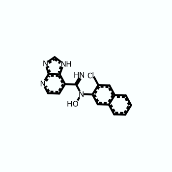 N=C(c1ccnc2nc[nH]c12)N(O)c1cc2ccccc2cc1Cl